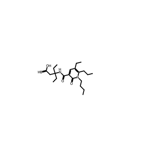 B=C(O)CC(CC)(CC)NC(=O)c1cc(CC)c(CCC)n(CCCC)c1=O